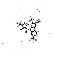 [CH2]=[Zr+2]([C]1=C(C)C(C(C)(C)C)=CC1C)[CH]1c2cc(C(C)(C)C)ccc2-c2ccc(C(C)(C)C)cc21.[Cl-].[Cl-]